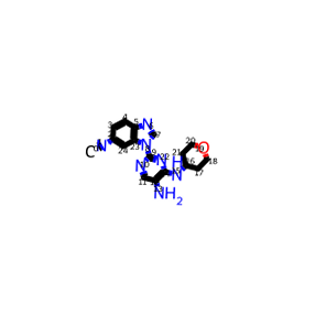 [C-]#[N+]c1ccc2ncn(-c3ncc(N)c(NC4CCOCC4)n3)c2c1